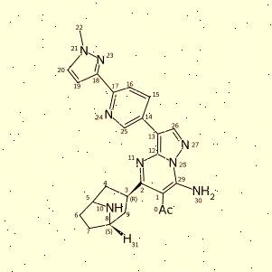 CC(=O)c1c([C@@H]2CC3CC[C@@H](C2)N3)nc2c(-c3ccc(-c4ccn(C)n4)nc3)cnn2c1N